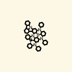 O=P12c3ccccc3N(c3ccccc3)c3cc4c5c(c31)N(c1ccccc12)c1c2c(cc3c1c1cccc6c7ccccc7n3c61)N(c1ccccc1)c1cccc(c1B52)N4c1ccccc1